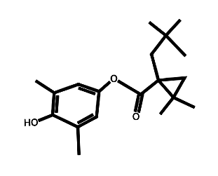 Cc1cc(OC(=O)C2(CC(C)(C)C)CC2(C)C)cc(C)c1O